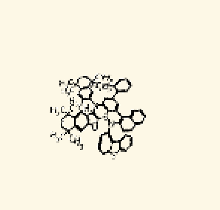 Cc1ccccc1-c1cc2c3c(c1)N(c1cc4c(cc1C)C(C)(C)CCC4(C)C)c1c(oc4cc5c(cc14)C(C)(C)CCC5(C)C)B3N(c1cccc3sc4ccccc4c13)c1ccc3ccccc3c1-2